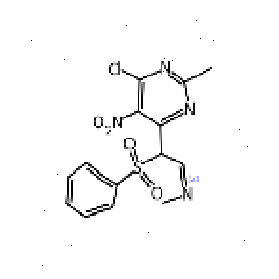 C/N=C\C(c1nc(C)nc(Cl)c1[N+](=O)[O-])S(=O)(=O)c1ccccc1